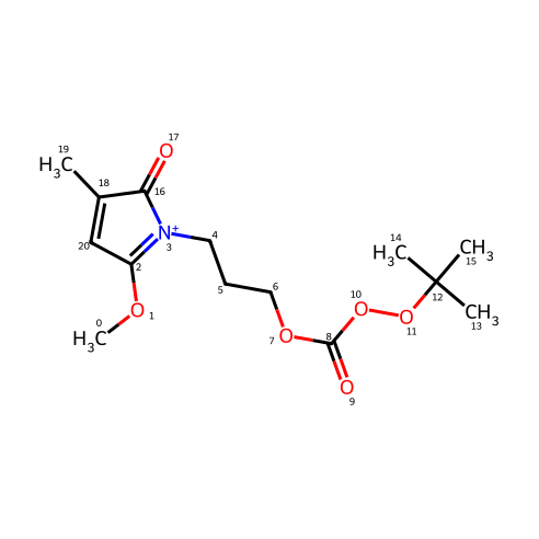 COC1=[N+](CCCOC(=O)OOC(C)(C)C)C(=O)C(C)=C1